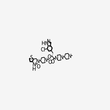 CN1CCC(N2CCN(C(=O)[C@@H](Cc3cc(Cl)c4[nH]ncc4c3)OC(=O)N3CCC(N4Cc5sccc5NC4=O)CC3)CC2)CC1